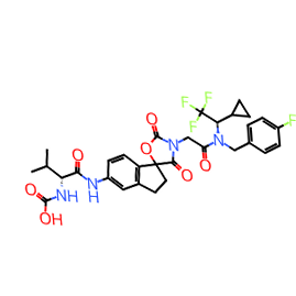 CC(C)[C@@H](NC(=O)O)C(=O)Nc1ccc2c(c1)CCC21OC(=O)N(CC(=O)N(Cc2ccc(F)cc2)[C@H](C2CC2)C(F)(F)F)C1=O